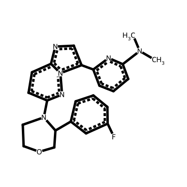 CN(C)c1cccc(-c2cnc3ccc(N4CCOCC4c4cccc(F)c4)nn23)n1